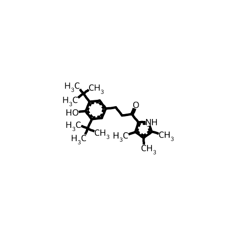 Cc1[nH]c(C(=O)CCc2cc(C(C)(C)C)c(O)c(C(C)(C)C)c2)c(C)c1C